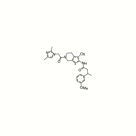 COc1cccc(C(C)CC(=O)Nc2sc3c(c2C#N)CCN(C(=O)Cn2cc(C)nc2C)C3)c1